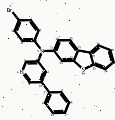 Brc1ccc(N(c2cncc(-c3ccccc3)c2)c2ccc3c(c2)sc2ccccc23)cc1